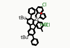 Cc1cc[c]([Zr](=[CH]c2ccc(Cl)cc2)([C]2=CC=CC2)[c]2c3c(cc(C(C)(C)C)c2-c2ccccc2)-c2cc(C(C)(C)C)c(-c4ccccc4)cc2C3)cc1.Cl.Cl